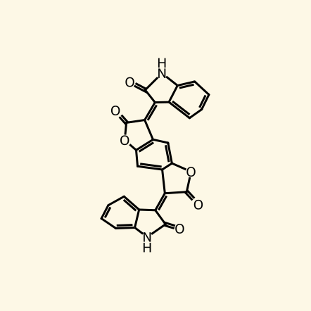 O=C1Nc2ccccc2/C1=C1/C(=O)Oc2cc3c(cc21)OC(=O)/C3=C1\C(=O)Nc2ccccc21